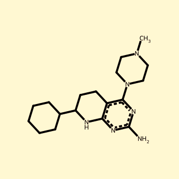 CN1CCN(c2nc(N)nc3c2CCC(C2CCCCC2)N3)CC1